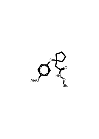 COc1ccc(SC2(CC(=O)NOC(C)(C)C)CCCC2)cc1